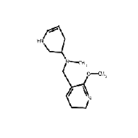 COC1=NCCC=C1CN(C)C1CC=CNC1